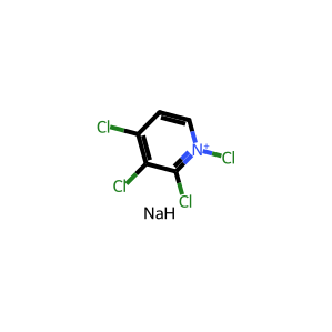 Clc1cc[n+](Cl)c(Cl)c1Cl.[NaH]